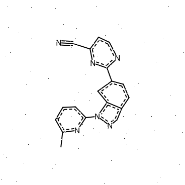 Cc1cccc(-n2ncc3ccc(-c4nccc(C#N)n4)cc32)n1